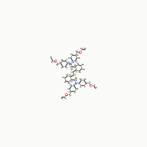 C=COCc1ccc(N(c2ccc(COC=C)cc2)c2sc(-c3sc(N(c4ccc(COC=C)cc4)c4ccc(COC=C)cc4)c4ccccc34)c3ccccc23)cc1